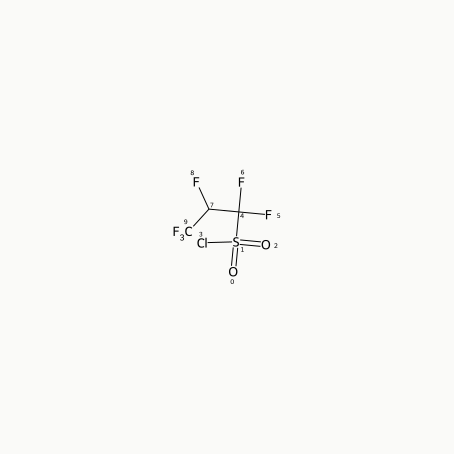 O=S(=O)(Cl)C(F)(F)C(F)C(F)(F)F